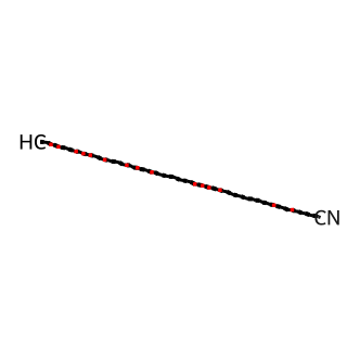 C#CC#CC#CC#CC#CC#CC#CC#CC#CC#CC#CC#CC#CC#CC#CC#CC#CC#CC#CC#CC#CC#CC#CC#CC#CC#CC#CC#CC#CC#CC#CC#CC#CC#CC#CC#CC#CC#CC#CC#N